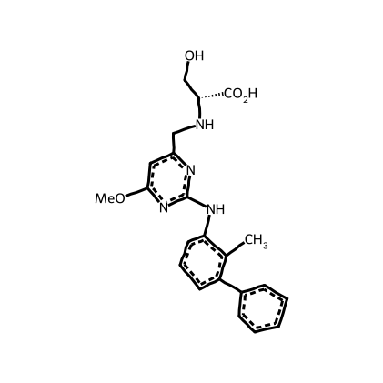 COc1cc(CN[C@H](CO)C(=O)O)nc(Nc2cccc(-c3ccccc3)c2C)n1